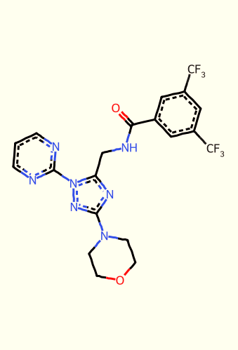 O=C(NCc1nc(N2CCOCC2)nn1-c1ncccn1)c1cc(C(F)(F)F)cc(C(F)(F)F)c1